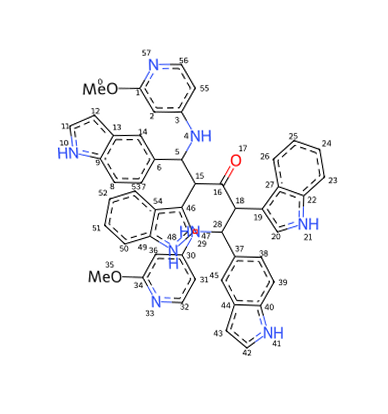 COc1cc(NC(c2ccc3[nH]ccc3c2)C(C(=O)C(c2c[nH]c3ccccc23)C(Nc2ccnc(OC)c2)c2ccc3[nH]ccc3c2)c2c[nH]c3ccccc23)ccn1